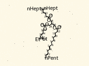 CCCCCC=CCC=CCCCCCCCC(=O)OCC(COC(=O)CCCC(CCCCCCC)CCCCCCC)COC(=O)OCCCN(CC)CC